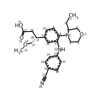 CCC1COCCN1c1ccc([C@H](COC)CC(=O)O)cc1Nc1ccc(C#N)cc1